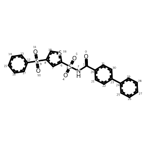 O=C(NS(=O)(=O)c1cc(S(=O)(=O)c2ccccc2)cs1)c1ccc(-c2ccccc2)cc1